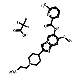 CC(C)Oc1cc2nc(C3CCN(CCC(=O)O)CC3)cn2cc1NC(=O)c1cccc(C(F)(F)F)n1.O=C(O)C(F)(F)F